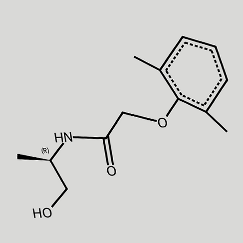 Cc1cccc(C)c1OCC(=O)N[C@H](C)CO